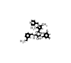 CCc1cccc(CNC[C@H](O)[C@@H](Cc2cc(F)cc(F)c2)NC(=O)c2cc(C)n(Cc3ccncc3)c2C)c1